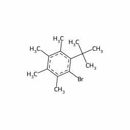 Cc1c(C)c(C)c(C(C)(C)C)c(Br)c1C